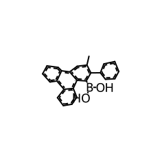 Cc1cc2c3ccccc3c3ccccc3c2c(B(O)O)c1-c1ccccc1